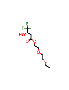 CCOCCOCCOC(=O)C[C@@H](O)C(F)(F)F